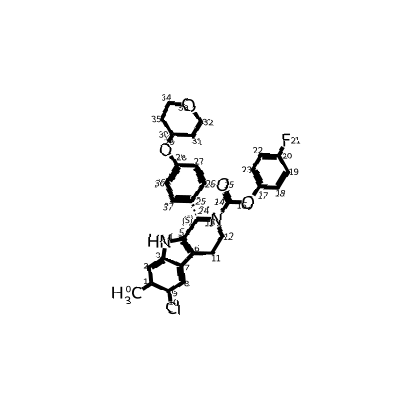 CC1C=c2[nH]c3c(c2=CC1Cl)CCN(C(=O)Oc1ccc(F)cc1)[C@H]3c1ccc(OC2CCOCC2)cc1